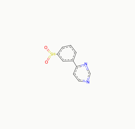 O=[SH](=O)c1cccc(-c2ccncn2)c1